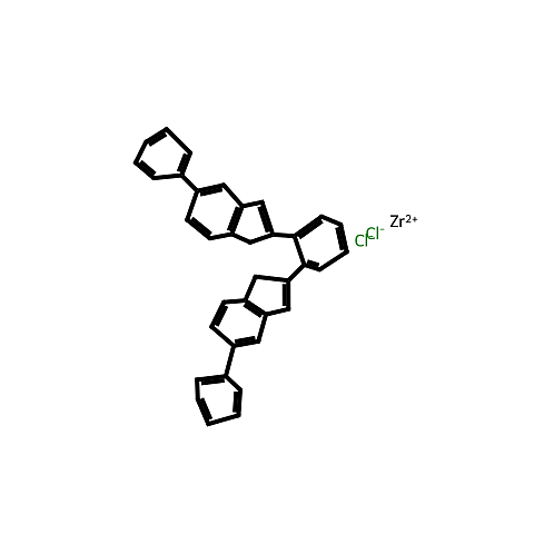 C1=C(c2ccccc2C2=Cc3cc(-c4ccccc4)ccc3C2)Cc2ccc(-c3ccccc3)cc21.[Cl-].[Cl-].[Zr+2]